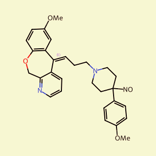 COc1ccc(C2(N=O)CCN(CC/C=C3/c4cc(OC)ccc4OCc4ncccc43)CC2)cc1